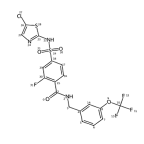 O=C(NCc1cccc(OC(F)(F)F)c1)c1ccc(S(=O)(=O)Nc2ncc(Cl)s2)cc1F